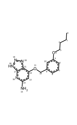 CCCCOc1cccc(COc2cc(N)nc3[nH]nnc23)c1